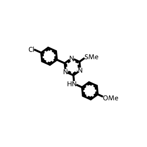 COc1ccc(Nc2nc(SC)nc(-c3ccc(Cl)cc3)n2)cc1